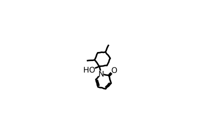 CC1CCC(O)(n2ccccc2=O)C(C)C1